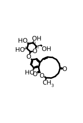 CC1CCCC(=O)CCCC=Cc2cc(OC3O[C@H](CO)[C@@H](O)[C@H](O)[C@H]3O)cc(O)c2C(=O)O1